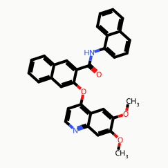 COc1cc2nccc(Oc3cc4ccccc4cc3C(=O)Nc3cccc4ccccc34)c2cc1OC